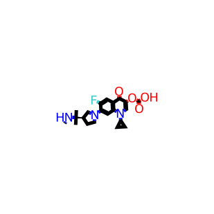 CNC(C)(C)[C@@H]1CCN(c2cc3c(cc2F)c(=O)c(OC(=O)O)cn3C2CC2)C1